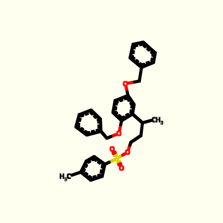 Cc1ccc(S(=O)(=O)OCCC(C)c2cc(OCc3ccccc3)ccc2OCc2ccccc2)cc1